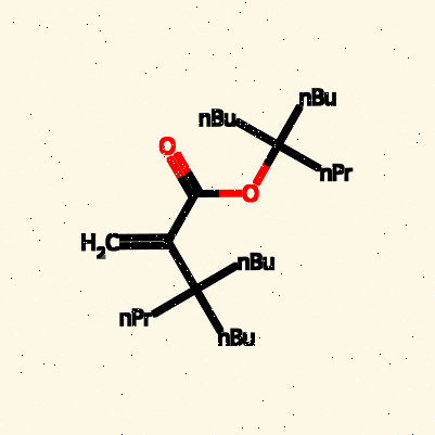 C=C(C(=O)OC(CCC)(CCCC)CCCC)C(CCC)(CCCC)CCCC